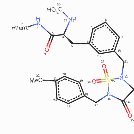 CCCCCNC(=O)[C@H](Cc1cccc(CN2CC(=O)N(Cc3ccc(OC)cc3)S2(=O)=O)c1)NC(=O)O